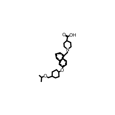 CC(C)OCC1CCC(Oc2ccc3c(CN4CCC(C(=O)O)CC4)cccc3c2)CC1